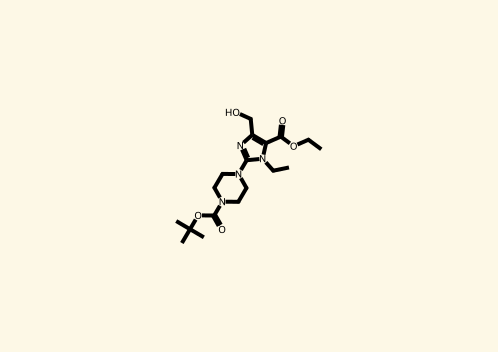 CCOC(=O)c1c(CO)nc(N2CCN(C(=O)OC(C)(C)C)CC2)n1CC